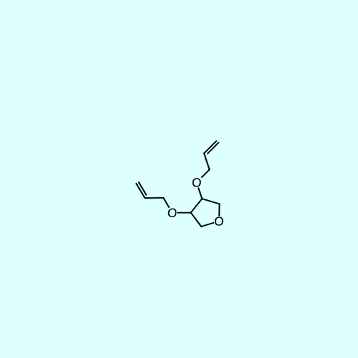 C=CCOC1COCC1OCC=C